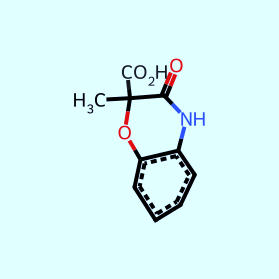 CC1(C(=O)O)Oc2ccccc2NC1=O